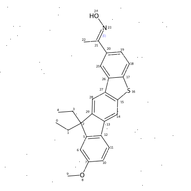 CCC1(CC)c2cc(OC)ccc2-c2cc3sc4ccc(/C(C)=N/O)cc4c3cc21